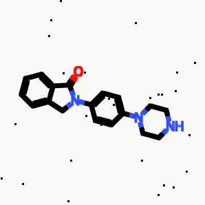 O=C1c2ccccc2CN1c1ccc(N2CCNCC2)cc1